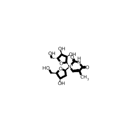 CC1=C[N+]([C@@H]2O[C@H](CO)[C@@H](O)[C@@H]2O)([C@H]2C[C@H](O)[C@@H](CO)O2)C(=O)NC1=O